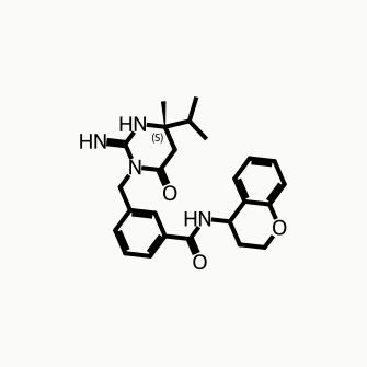 CC(C)[C@]1(C)CC(=O)N(Cc2cccc(C(=O)NC3CCOc4ccccc43)c2)C(=N)N1